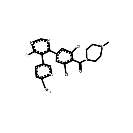 CCc1ncnc(-c2cc(Cl)c(C(=O)N3CCN(C)CC3)c(Cl)c2)c1-c1ccc(N)nc1